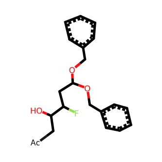 CC(=O)CC(O)C(F)CC(OCc1ccccc1)OCc1ccccc1